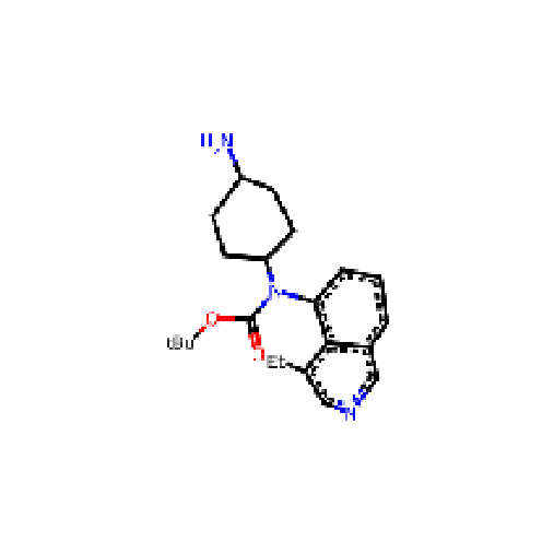 CCc1cncc2cccc(N(C(=O)OC(C)(C)C)C3CCC(N)CC3)c12